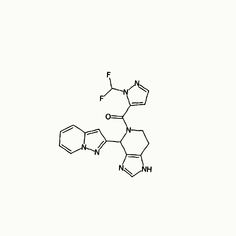 O=C(c1ccnn1C(F)F)N1CCc2[nH]cnc2C1c1cc2ccccn2n1